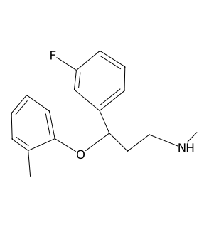 CNCCC(Oc1ccccc1C)c1cccc(F)c1